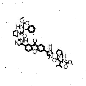 COC(=O)N[C@H](C(=O)N1CCC[C@H]1c1ncc(-c2ccc3c(=O)c4cc(-c5cnc([C@@H]6CCCN6C(=O)[C@H](NC(=O)OC)c6ccccc6)[nH]5)ccc4oc3c2)[nH]1)C(C)C